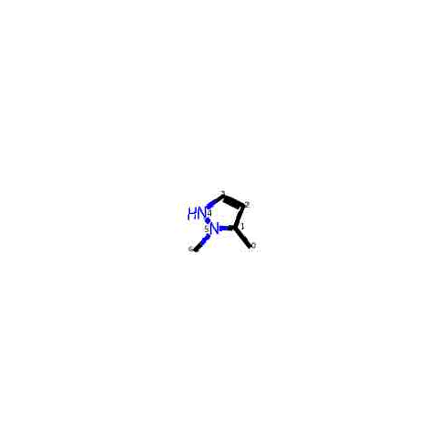 CC1C=[C]NN1C